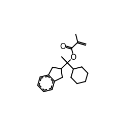 C=C(C)C(=O)OC(C)(C1CCCCC1)C1Cc2ccccc2C1